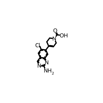 Nc1ncc2cc(Cl)c(C3=CCN(C(=O)O)CC3)cc2n1